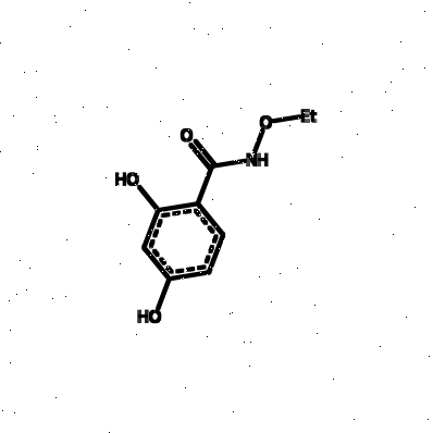 CCONC(=O)c1ccc(O)cc1O